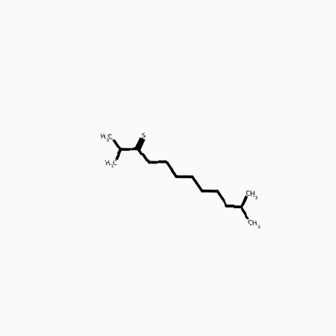 CC(C)CCCCCCCC(=S)C(C)C